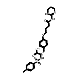 Cc1ccc(S(=O)(=O)N[C@@H](Cc2ccc(OCCCC(=O)NC3=NCCCN3)cc2)C(=O)O)cc1